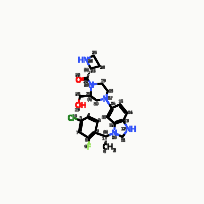 C[C@H](c1ccc(Cl)cc1F)N1CNc2ccc(N3CCN(C(=O)[C@H]4CCN4)[C@H](CO)C3)cc21